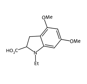 CCN1c2cc(OC)cc(OC)c2CC1C(=O)O